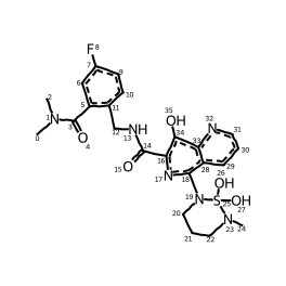 CN(C)C(=O)c1cc(F)ccc1CNC(=O)c1nc(N2CCCN(C)S2(O)O)c2cccnc2c1O